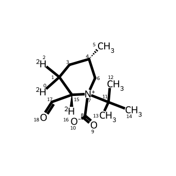 [2H]C1([2H])C[C@H](C)C[N+](C(=O)[O-])(C(C)(C)C)[C@]1([2H])C=O